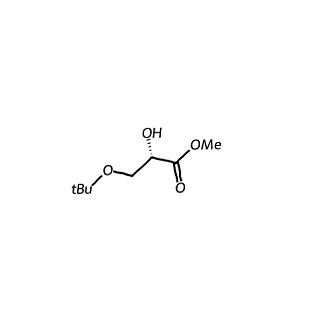 COC(=O)[C@@H](O)COC(C)(C)C